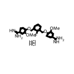 COc1cc(C(=N)N)ccc1OCc1cccc(COc2ccc(C(=N)N)cc2OC)c1F.Cl.Cl